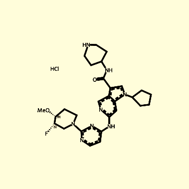 CO[C@@H]1CCN(c2nccc(Nc3cc4c(cn3)c(C(=O)NC3CCNCC3)cn4C3CCCC3)n2)C[C@@H]1F.Cl